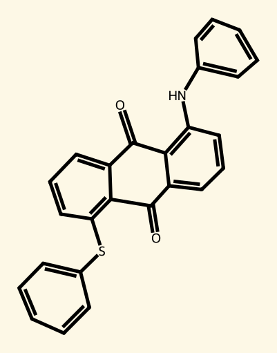 O=C1c2cccc(Sc3ccccc3)c2C(=O)c2cccc(Nc3ccccc3)c21